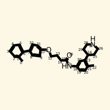 Cc1ccccc1-c1ccc(OCCCC(=O)Nc2ccc(C)c(C3CCNCC3)c2)cc1